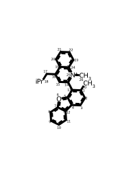 Cc1ccc2c(oc3ccccc32)c1-c1cc(CC(C)C)c2ccccc2[n+]1C